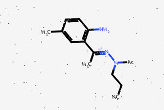 CC(=O)N(CCC#N)/N=C(\C)c1cc(C)ccc1N